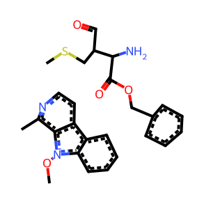 COn1c2ccccc2c2ccnc(C)c21.CSCC(C=O)C(N)C(=O)OCc1ccccc1